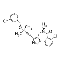 CN1Cc2c(C#CC(C)(C)OCc3cccc(Cl)c3)ncn2-c2cccc(Cl)c2C1=O